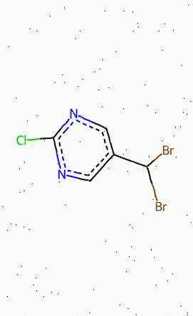 Clc1ncc(C(Br)Br)cn1